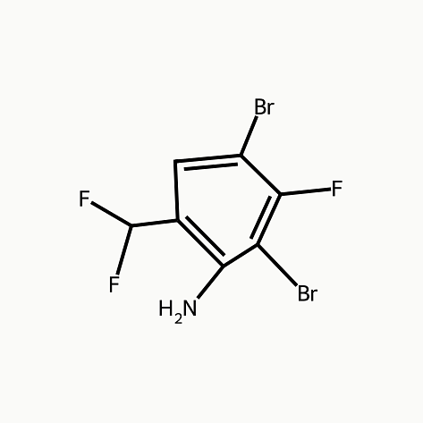 Nc1c(C(F)F)cc(Br)c(F)c1Br